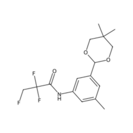 Cc1cc(NC(=O)C(F)(F)CF)cc(C2OCC(C)(C)CO2)c1